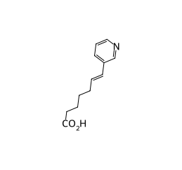 O=C(O)CCCCC=Cc1cccnc1